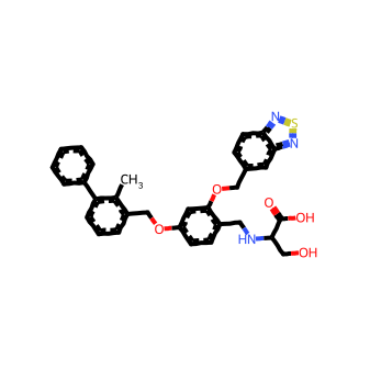 Cc1c(COc2ccc(CNC(CO)C(=O)O)c(OCc3ccc4nsnc4c3)c2)cccc1-c1ccccc1